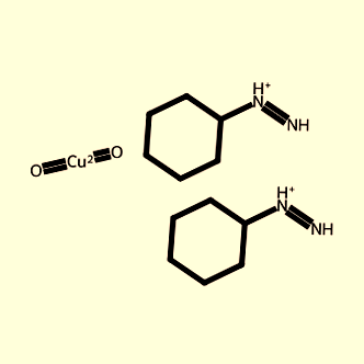 N=[NH+]C1CCCCC1.N=[NH+]C1CCCCC1.[O]=[Cu-2]=[O]